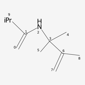 C=C(NC(C)(C)C(=C)C)C(C)C